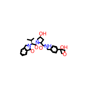 CC(C)[C@@H](C(=O)N1C[C@H](O)CC1C(=O)NCc1ccc(C2(O)COC2)cc1)N1Cc2ccccc2C1=O